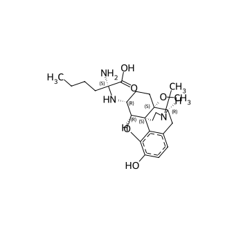 CCCC[C@](N)(N[C@@H]1CC[C@@]2(OC)[C@H]3Cc4ccc(O)c5c4[C@@]2(CCN3C)[C@H]1O5)C(=O)O